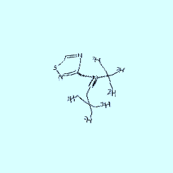 [2H]C([2H])([2H])N(c1ncsn1)C([2H])([2H])[2H]